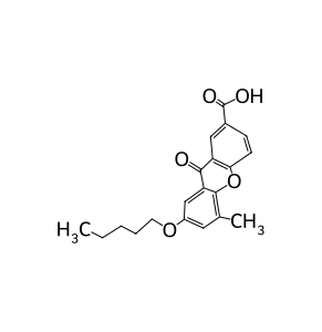 CCCCCOc1cc(C)c2oc3ccc(C(=O)O)cc3c(=O)c2c1